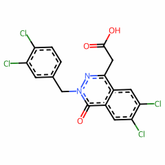 O=C(O)Cc1nn(Cc2ccc(Cl)c(Cl)c2)c(=O)c2cc(Cl)c(Cl)cc12